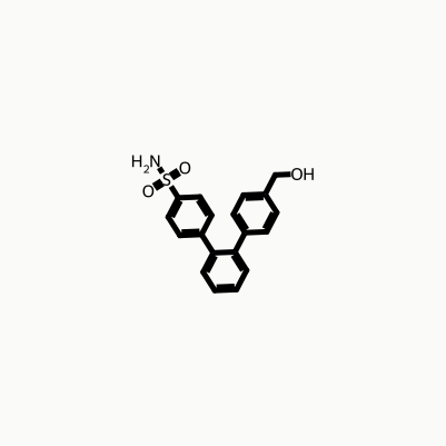 NS(=O)(=O)c1ccc(-c2ccccc2-c2ccc(CO)cc2)cc1